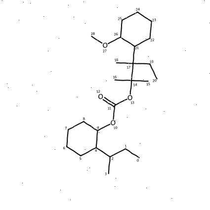 CCC(C)C1CCCCC1OC(=O)OC(C)(C)C(C)(CC)C1CCCCC1OC